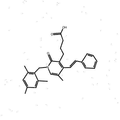 Cc1cc(C)c(Cn2cc(C)c(C=Cc3ccccc3)c(CCCC(=O)O)c2=O)c(C)c1